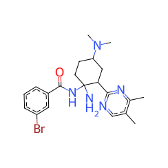 Cc1cnc(C2CC(N(C)C)CCC2(N)NC(=O)c2cccc(Br)c2)nc1C